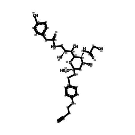 C#CCCOc1ccc(CS[C@]2(C(=O)O)C[C@H](O)[C@@H](NC(=O)CO)[C@H]([C@H](O)[C@H](O)CNC(=O)Cc3ccc(O)cc3)O2)cc1